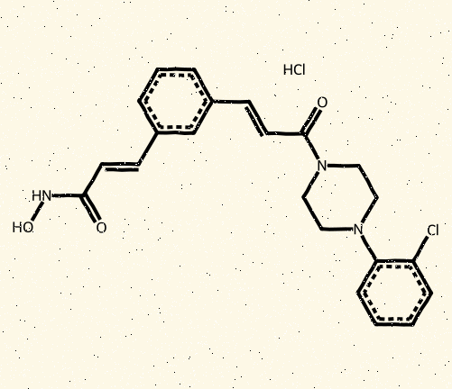 Cl.O=C(/C=C/c1cccc(/C=C/C(=O)N2CCN(c3ccccc3Cl)CC2)c1)NO